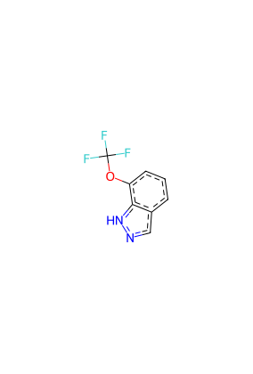 FC(F)(F)Oc1cccc2cn[nH]c12